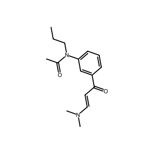 CCCN(C(C)=O)c1cccc(C(=O)/C=C/N(C)C)c1